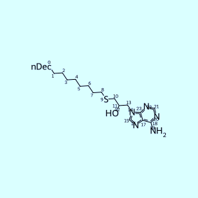 CCCCCCCCCCCCCCCCCCSCC(O)Cn1cnc2c(N)ncnc21